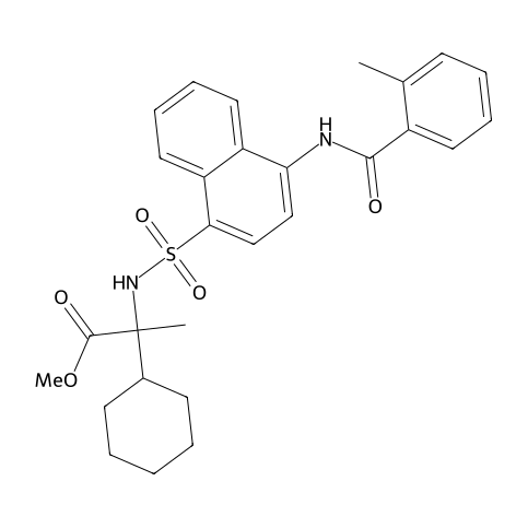 COC(=O)C(C)(NS(=O)(=O)c1ccc(NC(=O)c2ccccc2C)c2ccccc12)C1CCCCC1